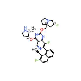 C#Cc1c(F)ccc2cccc(-c3ncc4c(O[C@@H]5CCN[C@@H]5C)nc(OC[C@@]56CCCN5C[C@H](F)C6)nc4c3F)c12